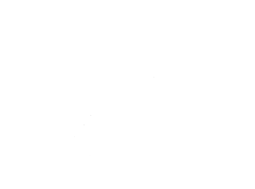 C=CCC(=O)OCC(COCC(F)(OC(F)(F)C(F)(OC(F)(F)C(=C)F)C(F)(F)F)C(F)(F)F)OC(=O)CC=C